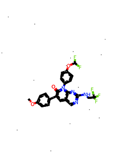 COc1ccc(-c2cc3cnc(NCC(F)(F)F)nc3n(-c3ccc(OC(F)F)cc3)c2=O)cc1